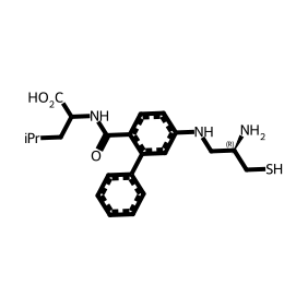 CC(C)CC(NC(=O)c1ccc(NC[C@@H](N)CS)cc1-c1ccccc1)C(=O)O